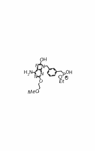 CCOP(=O)(O)Cc1cccc(Cn2c(O)nc3c(N)nc(OCCOC)nc32)c1